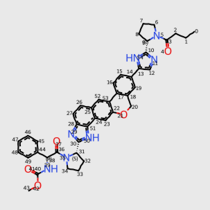 CCCC(=O)N1CCC[C@H]1c1ncc(-c2ccc3c(c2)COc2cc4c(ccc5nc([C@@H]6CCCN6C(=O)[C@H](NC(=O)OC)c6ccccc6)[nH]c54)cc2-3)[nH]1